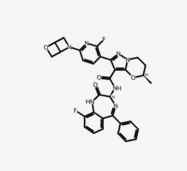 C[C@@H]1CCn2nc(-c3ccc(N4CC5OCC54)nc3F)c(C(=O)N[C@H]3N=C(c4ccccc4)c4cccc(F)c4NC3=O)c2O1